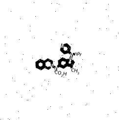 CCCN(c1ccncc1)n1cc(C)c2cc(N(C(=O)O)N3CCc4ccccc4C3)ccc21